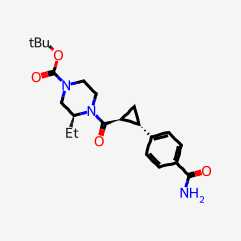 CC[C@H]1CN(C(=O)OC(C)(C)C)CCN1C(=O)[C@H]1C[C@@H]1c1ccc(C(N)=O)cc1